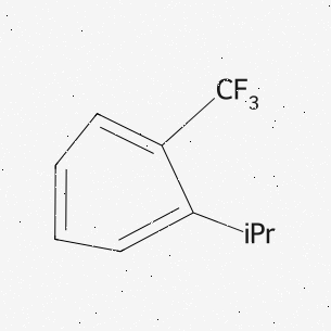 [CH2]C(C)c1ccccc1C(F)(F)F